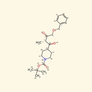 C[C@H](C(=O)COCc1ccccc1)C(=O)C1CCN(C(=O)OC(C)(C)C)CC1